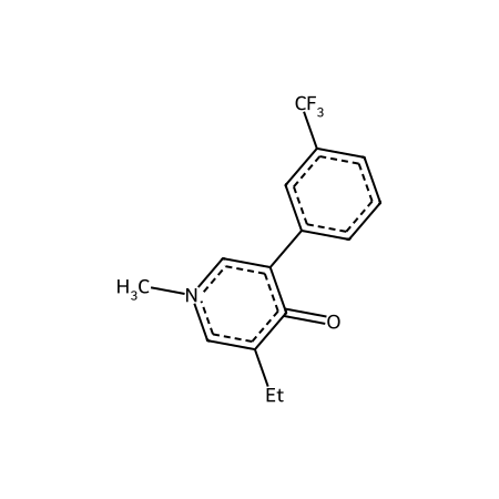 CCc1cn(C)cc(-c2cccc(C(F)(F)F)c2)c1=O